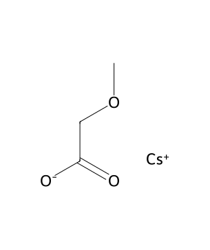 COCC(=O)[O-].[Cs+]